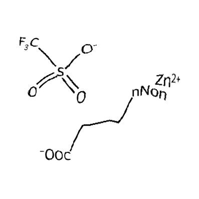 CCCCCCCCCCCC(=O)[O-].O=S(=O)([O-])C(F)(F)F.[Zn+2]